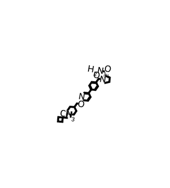 CC1(CN2CCC(COc3ccc(-c4ccc(C(=O)N5CCC[C@H]5C(N)=O)cc4)cn3)CC2)CCC1